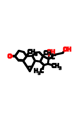 CC1[C@@H](C)C2C3C4CC4C4=CC(=O)CC[C@]4(C)C3CC[C@]2(C)[C@]1(O)CCCO